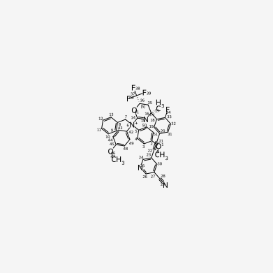 COc1ccc([N+](Cc2ccccc2)(C2=N[C@](C)(c3cc(C#Cc4cncc(C#N)c4)ccc3F)C[C@@H](C(F)(F)F)O2)c2ccc(OC)cc2)cc1